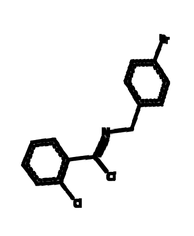 ClC(=NCc1ccc(Br)cc1)c1ccccc1Cl